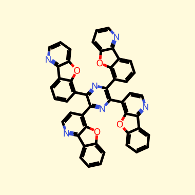 c1ccc2c(c1)oc1c(-c3nc(-c4ccnc5c4oc4ccccc45)c(-c4cccc5c4oc4cccnc45)nc3-c3cccc4c3oc3cccnc34)ccnc12